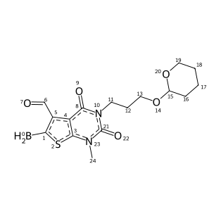 Bc1sc2c(c1C=O)c(=O)n(CCCOC1CCCCO1)c(=O)n2C